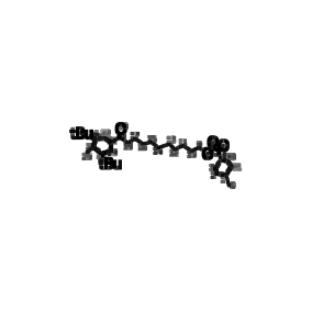 Cc1ccc(S(=O)(=O)OCCCCCCCCCCC(=O)c2cc(C(C)(C)C)c(C)c(C(C)(C)C)c2)cc1